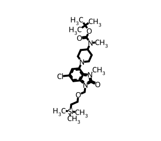 CN(C(=O)OC(C)(C)C)C1CCN(c2cc(Cl)cc3c2n(C)c(=O)n3COCC[Si](C)(C)C)CC1